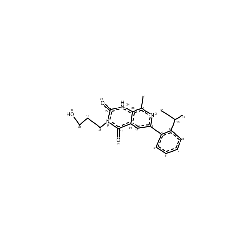 Cc1nc(-c2ccccc2C(C)C)cc2c(=O)n(CCCO)c(=O)[nH]c12